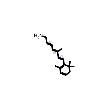 CC1=C(/C=C/C(C)=C/C=C/CN)C(C)(C)CC=C1